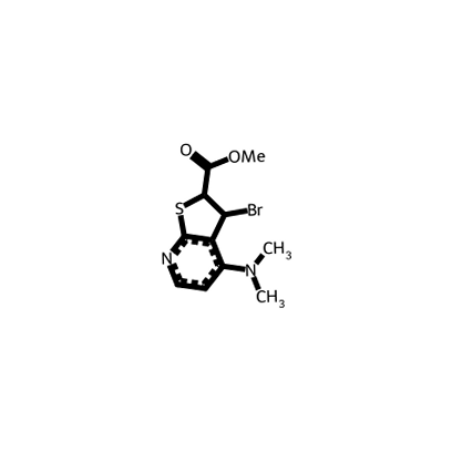 COC(=O)C1Sc2nccc(N(C)C)c2C1Br